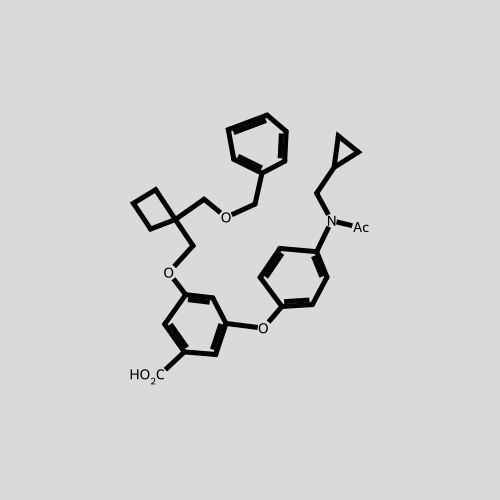 CC(=O)N(CC1CC1)c1ccc(Oc2cc(OCC3(COCc4ccccc4)CCC3)cc(C(=O)O)c2)cc1